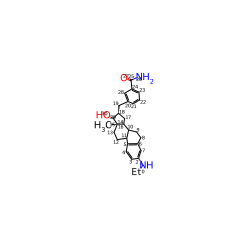 CCNc1ccc2c(c1)CCC1C2CC[C@@]2(C)C1C[C@H](Cc1cccc(C(N)=O)c1)[C@@H]2O